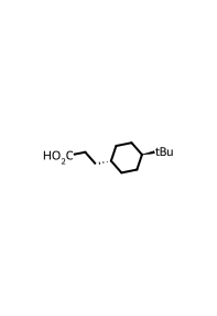 CC(C)(C)[C@H]1CC[C@H](CCC(=O)O)CC1